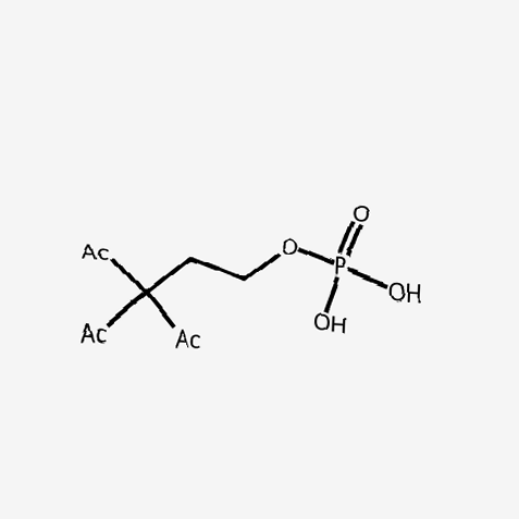 CC(=O)C(CCOP(=O)(O)O)(C(C)=O)C(C)=O